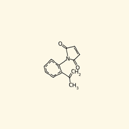 C=C(C)c1ccccc1N1C(=O)C=CC1=O